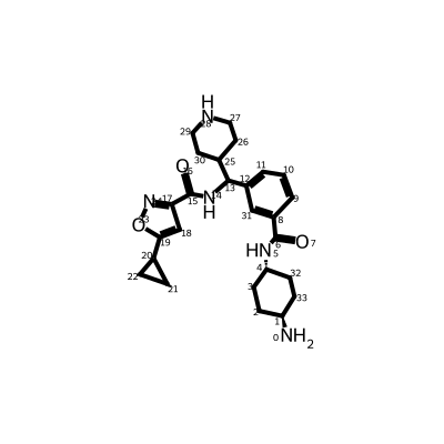 N[C@H]1CC[C@H](NC(=O)c2cccc(C(NC(=O)c3cc(C4CC4)on3)C3CCNCC3)c2)CC1